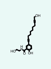 O=C(NCCO)c1cc(C#CCCCCCCC#CCO)ccc1O